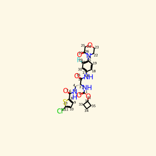 O=C(N[C@H](CNC(=O)c1ccc(Cl)s1)C(=O)Nc1ccc(N2CCOCC2=O)c(F)c1)OC1CCC1